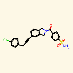 NS(=O)(=O)c1ccc(C(=O)N2Cc3ccc(C#CCc4ccc(Cl)cc4)cc3C2)cc1